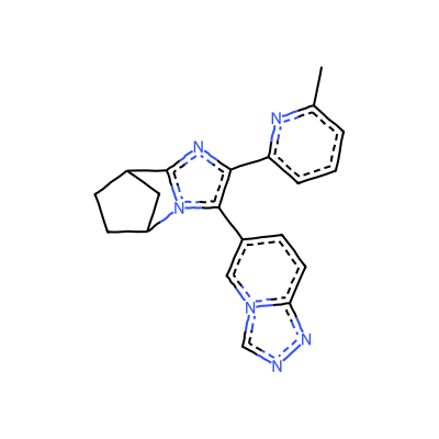 Cc1cccc(-c2nc3n(c2-c2ccc4nncn4c2)C2CCC3C2)n1